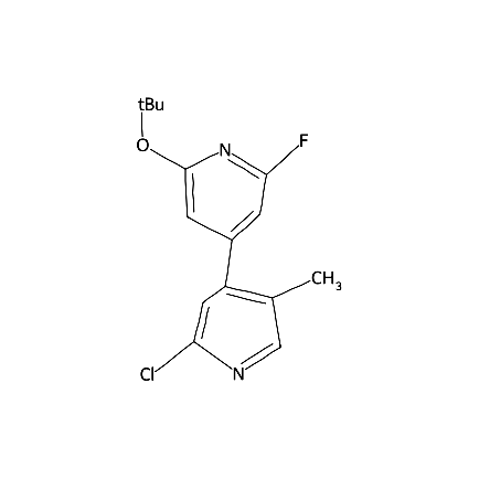 Cc1cnc(Cl)cc1-c1cc(F)nc(OC(C)(C)C)c1